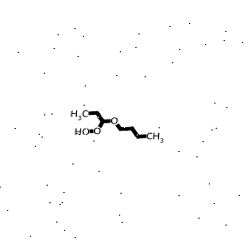 CCCCOC(CC)OO